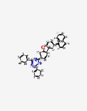 c1ccc(-c2nc(-c3ccccc3)nc(-c3ccc4c(c3)oc3ccc(-c5cccc6ccccc56)cc34)n2)cc1